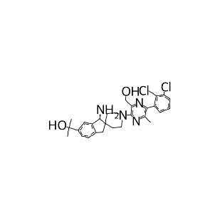 Cc1nc(N2CCC3(CC2)Cc2ccc(C(C)(C)O)cc2[C@H]3N)c(CO)nc1-c1cccc(Cl)c1Cl